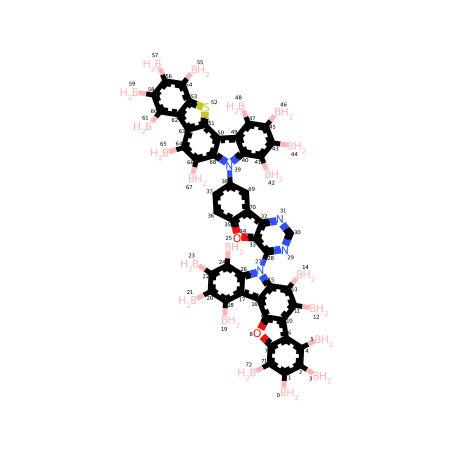 Bc1c(B)c(B)c2c(oc3c2c(B)c(B)c2c3c3c(B)c(B)c(B)c(B)c3n2-c2ncnc3c2oc2ccc(-n4c5c(B)c(B)c(B)c(B)c5c5c6sc7c(B)c(B)c(B)c(B)c7c6c(B)c(B)c54)cc23)c1B